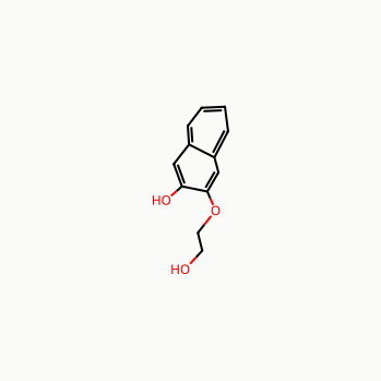 OCCOc1cc2ccccc2cc1O